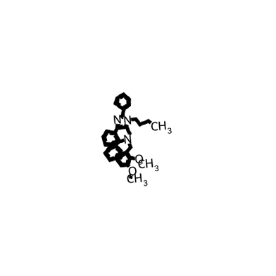 CCCCn1c(-c2ccccc2)nc(-c2ccccc2)c1CN(Cc1ccccc1)Cc1cccc(OC)c1OC